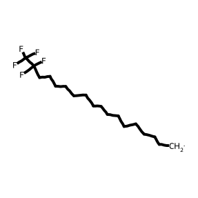 [CH2]CCCCCCCCCCCCCCCC(F)(F)C(F)(F)F